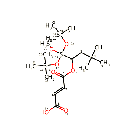 CC(C)(C)CC(OC(=O)C=CC(=O)O)[Si](O[SiH3])(O[Si](C)(C)C)O[Si](C)(C)C